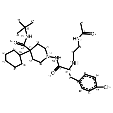 CC(=O)NCCN[C@H](Cc1ccc(Cl)cc1)C(=O)NN1CCC(C(=O)NC(C)(C)C)(C2CCCCC2)CC1